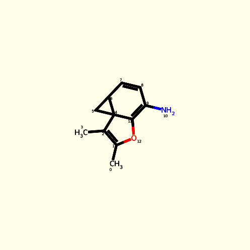 CC1=C(C)C23CC2C=CC(N)=C3O1